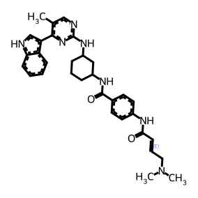 Cc1cnc(NC2CCCC(NC(=O)c3ccc(NC(=O)/C=C/CN(C)C)cc3)C2)nc1-c1c[nH]c2ccccc12